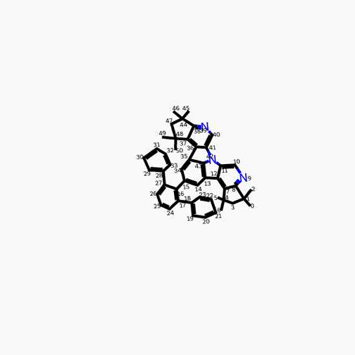 CC1(C)CC(C)(C)c2c1ncc1c2c2cc(-c3c(-c4ccccc4)cccc3-c3ccccc3)cc3c4c5c(ncc4n1c23)C(C)(C)CC5(C)C